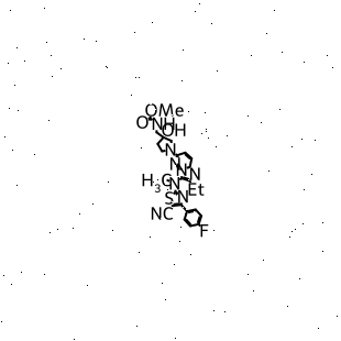 CCc1nc2ccc(N3CCC(O)(CNC(=O)OC)C3)nn2c1N(C)c1nc(-c2ccc(F)cc2)c(C#N)s1